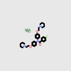 Cl.Cl.O=C(c1ccc(F)cc1)N(c1ccc(OCCN2CCCCC2)cc1)c1ccc(OCCN2CCCCC2)cc1